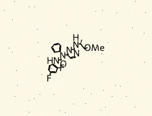 COC[C@H](C)Nc1nccc(N(C(=O)Nc2ccc(F)cc2F)c2ccccc2)n1